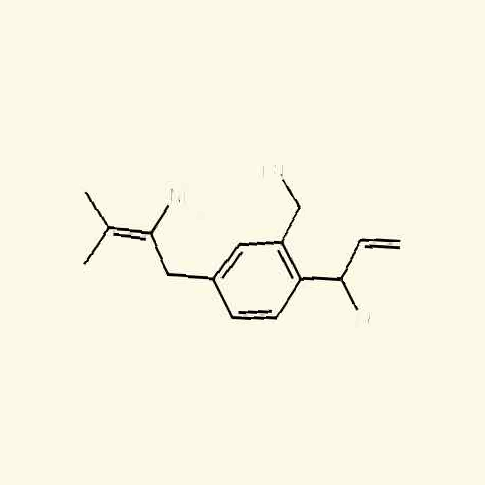 C=CC(CC)c1ccc(CC(N)=C(C)C)cc1CN